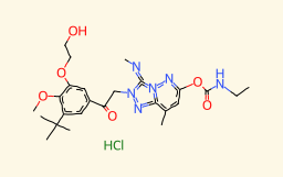 CCNC(=O)Oc1cc(C)c2nn(CC(=O)c3cc(OCCO)c(OC)c(C(C)(C)C)c3)/c(=N\C)n2n1.Cl